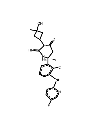 CC1(O)CC(N2C(=N)N[C@](C)(c3cccc(Nc4ccc(F)cn4)c3Cl)CC2=O)C1